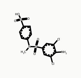 CN(c1ccc(S(=O)(=O)O)cc1)S(=O)(=O)c1cc(Cl)c(N)c(Cl)c1